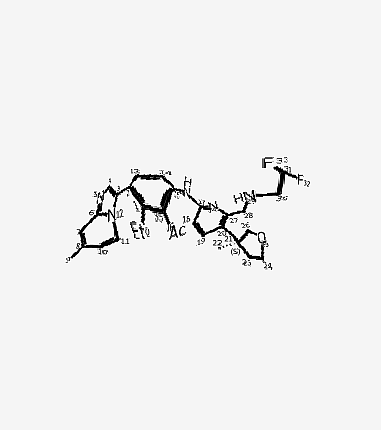 CCc1c(-c2cnc3cc(C)ccn23)ccc(Nc2ccc([C@]3(C)CCOC3)c(CNCC(F)F)n2)c1C(C)=O